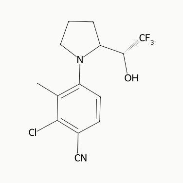 Cc1c(N2CCCC2[C@@H](O)C(F)(F)F)ccc(C#N)c1Cl